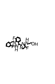 N=C(c1ncc(F)c(NCCO)n1)c1cccc(F)c1NCc1ccccc1F